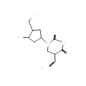 C=CC1CN(C2CC(O)C(CO)C2)C(=O)NC1=O